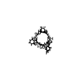 C[C@@H]1CN[C@@H](C2CCCCC2)C(=O)N(C)[C@H](C)C(=O)N[C@H](Cc2ccc(F)cc2)C(=O)NCCC[C@@H]2CCCC[C@@H]2O1